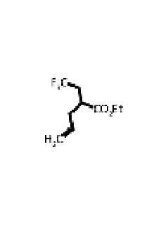 C=CCC(CC(F)(F)F)C(=O)OCC